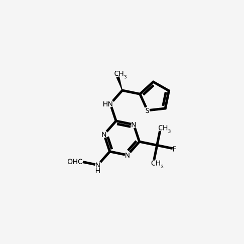 C[C@H](Nc1nc(NC=O)nc(C(C)(C)F)n1)c1cccs1